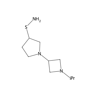 CC(C)N1CC(N2CCC(SN)C2)C1